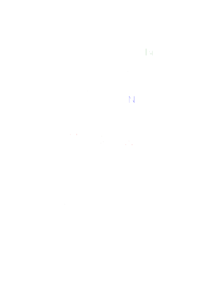 Cc1ccc(S(=O)(=O)C2C=CC(Br)=N2)c(C)c1